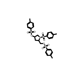 Cc1ccc(S(=O)(=O)OCC2CC(OS(=O)(=O)c3ccc(C)cc3)CN2S(=O)(=O)c2ccc(C)cc2)cc1